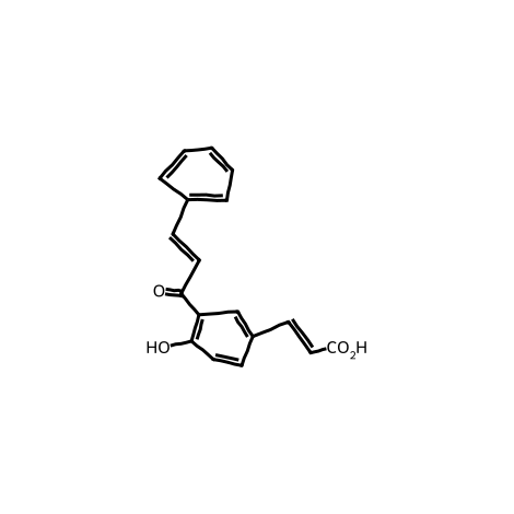 O=C(O)C=Cc1ccc(O)c(C(=O)C=Cc2ccccc2)c1